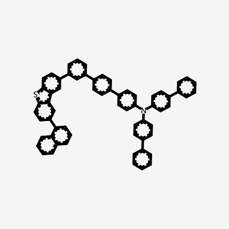 c1ccc(-c2ccc(N(c3ccc(-c4ccccc4)cc3)c3ccc(-c4ccc(-c5cccc(-c6ccc7sc8ccc(-c9cccc%10ccccc9%10)cc8c7c6)c5)cc4)cc3)cc2)cc1